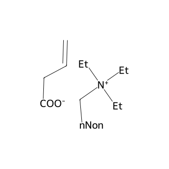 C=CCC(=O)[O-].CCCCCCCCCC[N+](CC)(CC)CC